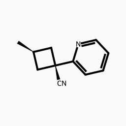 C[C@H]1C[C@](C#N)(c2ccccn2)C1